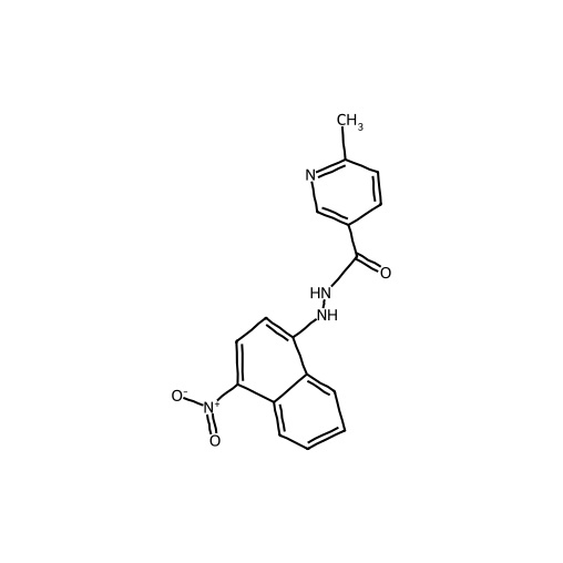 Cc1ccc(C(=O)NNc2ccc([N+](=O)[O-])c3ccccc23)cn1